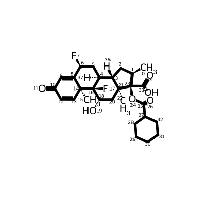 C[C@@H]1C[C@H]2[C@@H]3C[C@H](F)C4=CC(=O)C=C[C@]4(C)[C@@]3(F)[C@@H](O)C[C@]2(C)[C@@]1(OC(=O)C1CCCCC1)C(=O)O